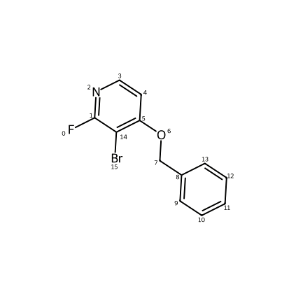 Fc1nccc(OCc2ccccc2)c1Br